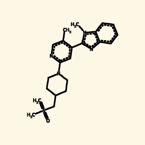 C=S(C)(=O)CC1CCN(c2cc(-c3nc4ccccc4n3C)c(C)cn2)CC1